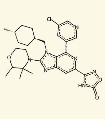 CC1OCCN(c2nc3cc(-c4noc(=O)[nH]4)nc(-c4cncc(Cl)c4)c3n2C[C@H]2CC[C@H](C)CC2)C1(C)C